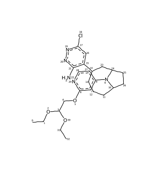 CCOC(COc1cc(N2C3CCCC(c4cc(Cl)nnc4N)CC2CC3)ccn1)OCC